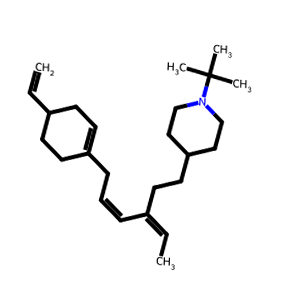 C=CC1CC=C(C/C=C\C(=C/C)CCC2CCN(C(C)(C)C)CC2)CC1